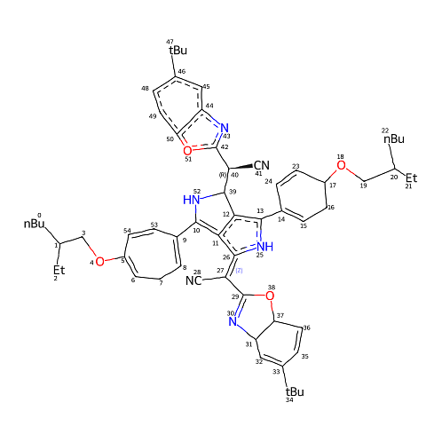 CCCCC(CC)COC1=CCC=C(C2=c3c(c(C4=CCC(OCC(CC)CCCC)C=C4)[nH]/c3=C(/C#N)C3=NC4C=C(C(C)(C)C)C=CC4O3)C([C@H](C#N)c3nc4cc(C(C)(C)C)ccc4o3)N2)C=C1